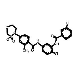 Cc1cc(N2CCOCS2(=O)=O)ccc1C(=O)Nc1ccc(Cl)c(NC(=O)c2cccc(Cl)c2)c1